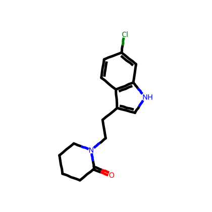 O=C1CCCCN1CCc1c[nH]c2cc(Cl)ccc12